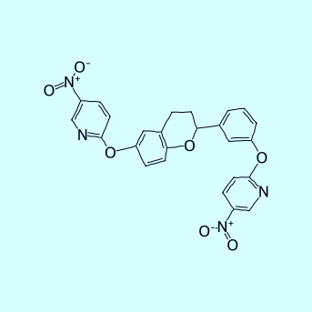 O=[N+]([O-])c1ccc(Oc2cccc(C3CCc4cc(Oc5ccc([N+](=O)[O-])cn5)ccc4O3)c2)nc1